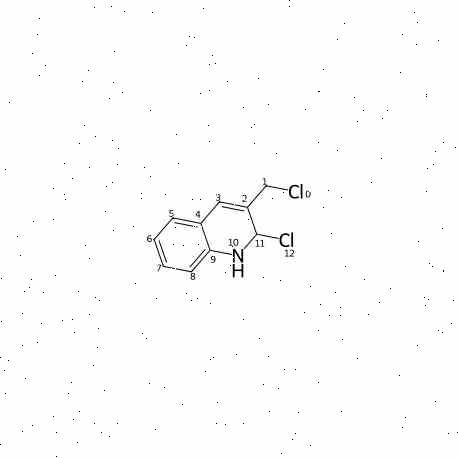 ClCC1=Cc2ccccc2NC1Cl